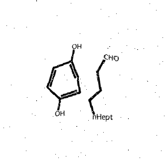 CCCCCCCCCCC=O.Oc1ccc(O)cc1